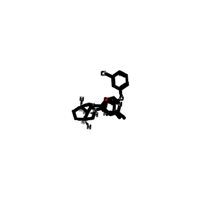 Cc1cc(N2C[C@H]3CC[C@@H](C2)[C@H]3Nc2nc(Oc3cccc(Cl)c3)n(C)n2)ncn1